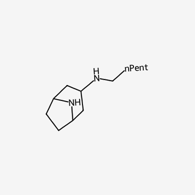 CCCCCCNC1CC2CCC(C1)N2